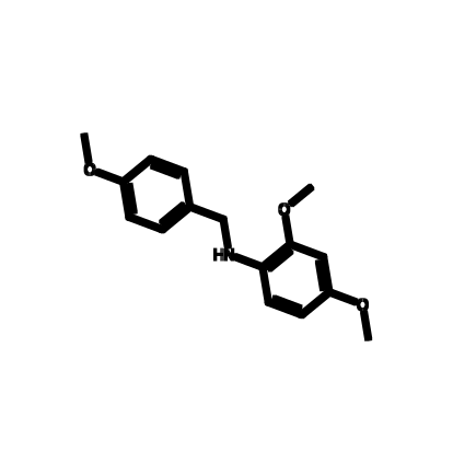 COc1ccc(CNc2ccc(OC)cc2OC)cc1